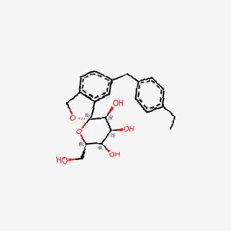 CCc1ccc(Cc2ccc3c(c2)[C@]2(OC3)O[C@H](CO)[C@H](O)[C@H](O)[C@@H]2O)cc1